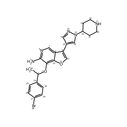 CC(Oc1c(N)ncc2c(-c3cnn(C4CCNCC4)c3)coc12)c1ccc(Br)cc1